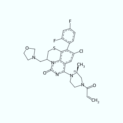 C=CC(=O)N1CCN(c2nc(=O)n3c4c(c(-c5ccc(F)cc5F)c(Cl)cc24)SCC3CN2CCOC2)[C@@H](C)C1